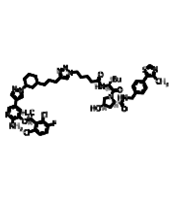 Cc1ncsc1-c1ccc(CNC(=O)[C@@H]2C[C@@H](O)CN2C(=O)[C@@H](NC(=O)CCCCn2cc(CCCC3CCCC(n4cc(-c5cnc(N)c(O[C@H](C)c6c(Cl)ccc(F)c6Cl)c5)cn4)C3)nn2)C(C)(C)C)cc1